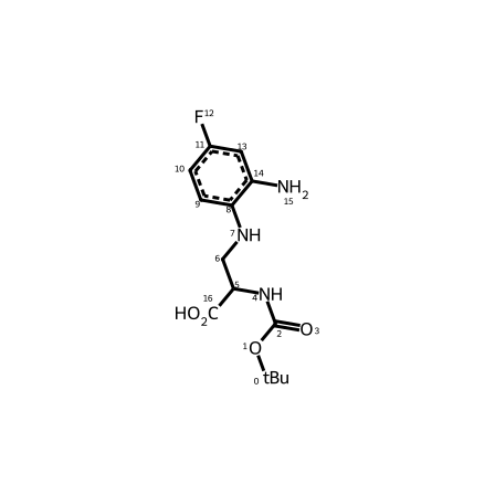 CC(C)(C)OC(=O)NC(CNc1ccc(F)cc1N)C(=O)O